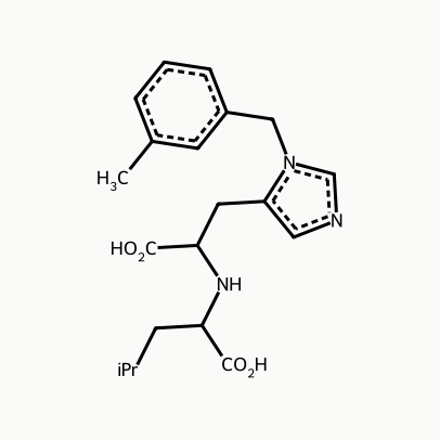 Cc1cccc(Cn2cncc2CC(NC(CC(C)C)C(=O)O)C(=O)O)c1